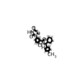 Cc1ccc(C(NC(=O)c2cc(-n3ncc(=O)[nH]c3=O)ccc2Cl)C2CCCCC2)cc1